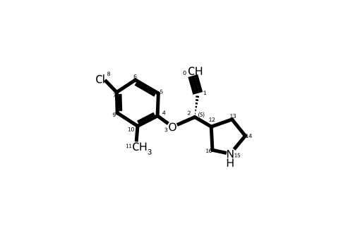 C#C[C@@H](Oc1ccc(Cl)cc1C)C1CCNC1